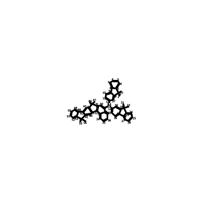 CC1(C)c2ccccc2-c2ccc(N(c3ccc4c(c3)C(C)(C)c3ccccc3-4)c3cc4c(c5ccccc35)-c3cc5c(cc3C4(C)C)-c3ccccc3C5(C)C)cc21